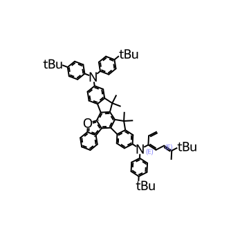 C=C/C(=C\C=C(/C)C(C)(C)C)N(c1ccc(C(C)(C)C)cc1)c1ccc2c(c1)C(C)(C)c1c3c(c4oc5ccccc5c4c1-2)-c1ccc(N(c2ccc(C(C)(C)C)cc2)c2ccc(C(C)(C)C)cc2)cc1C3(C)C